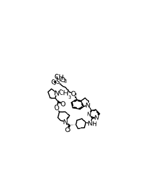 CN1CCCC1C(=O)OC1CCN(C(=O)[C@H]2CC[C@H](Nc3nccc(N4CCc5c(OCCCS(C)(=O)=O)cccc54)n3)CC2)CC1